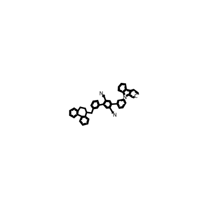 N#Cc1cc(-c2cccc(-n3c4ccccc4c4ccccc43)c2)c(C#N)cc1-c1cccc(CC2CCc3ccccc3-c3ccccc32)c1